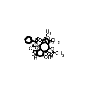 CC(=O)O[C@H]1C(=O)[C@@]2(C)[C@H]([C@H](OC(=O)c3ccccc3)[C@]3(O)C[C@H](C)C(C)=C1C3(C)C)[C@]1(OC(C)=O)CO[C@@H]1C[C@@H]2O